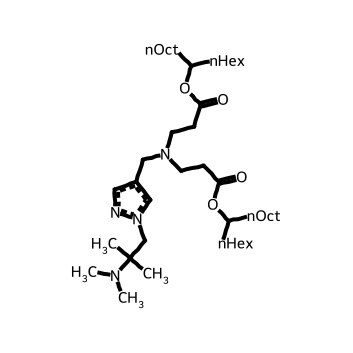 CCCCCCCCC(CCCCCC)OC(=O)CCN(CCC(=O)OC(CCCCCC)CCCCCCCC)Cc1cnn(CC(C)(C)N(C)C)c1